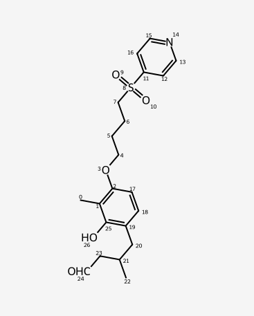 Cc1c(OCCCCS(=O)(=O)c2ccncc2)ccc(CC(C)CC=O)c1O